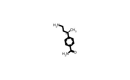 C[C@H](CCN)c1ccc(C(N)=O)cc1